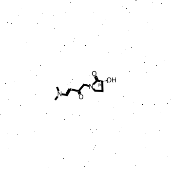 CN(C)C=CC(=O)CN1CC[C@@H](O)C1=O